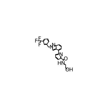 O=C(NCCO)c1cccc(-c2cccc3nn(Cc4cccc(C(F)(F)F)c4)cc23)n1